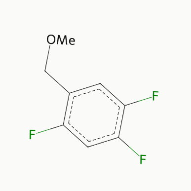 [CH2]OCc1cc(F)c(F)cc1F